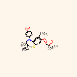 CCCCC1(CCCC)CSc2cc(OCC(=O)OC)c(SC)cc2N(c2ccc(O)cc2)C1